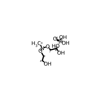 CN(OCCO)OCCO.O=P(O)(O)O